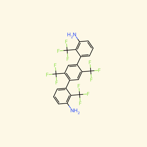 Nc1cccc(-c2cc(C(F)(F)F)c(-c3cccc(N)c3C(F)(F)F)cc2C(F)(F)F)c1C(F)(F)F